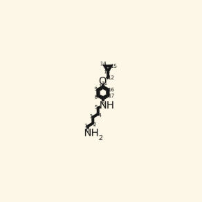 NCCCCCNc1ccc(OCC2CC2)cc1